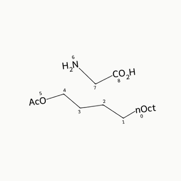 CCCCCCCCCCCCOC(C)=O.NCC(=O)O